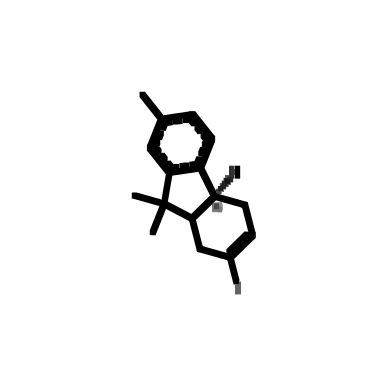 Cc1ccc2c(c1)C(C)(C)C1CC(I)=CC[C@H]21